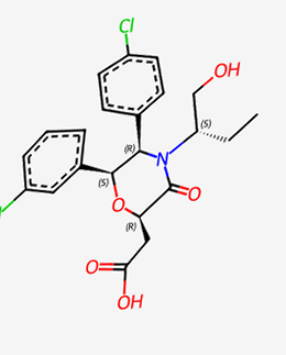 CC[C@@H](CO)N1C(=O)[C@@H](CC(=O)O)O[C@@H](c2cccc(Cl)c2)[C@H]1c1ccc(Cl)cc1